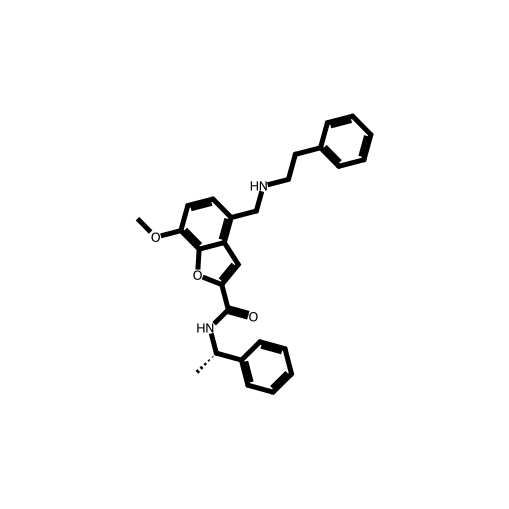 COc1ccc(CNCCc2ccccc2)c2cc(C(=O)N[C@@H](C)c3ccccc3)oc12